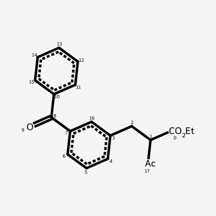 CCOC(=O)C(Cc1cccc(C(=O)c2ccccc2)c1)C(C)=O